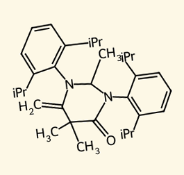 C=C1N(c2c(C(C)C)cccc2C(C)C)C(C)N(c2c(C(C)C)cccc2C(C)C)C(=O)C1(C)C